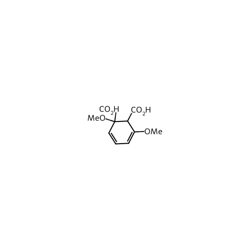 COC1=CC=CC(OC)(C(=O)O)C1C(=O)O